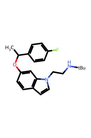 CC(Oc1ccc2ccn(CCNC(C)(C)C)c2c1)c1ccc(F)cc1